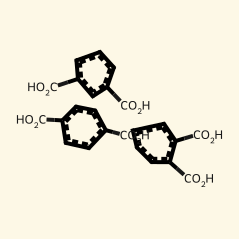 O=C(O)c1ccc(C(=O)O)cc1.O=C(O)c1cccc(C(=O)O)c1.O=C(O)c1ccccc1C(=O)O